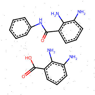 Nc1cccc(C(=O)Nc2ccccc2)c1N.Nc1cccc(C(=O)O)c1N